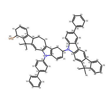 CC1(C)C2=Cc3c(c4c(n3-c3ccc(-c5ccccc5)cc3)C=CC(n3c5ccc(-c6ccccc6)cc5c5cc6c(cc53)C(C)(C)c3ccccc3-6)C4)CCC2C2=C1C(S)CC=C2